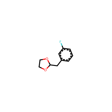 Fc1cccc(CC2OCCO2)c1